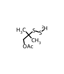 [2H]SSC(C)(C)COC(C)=O